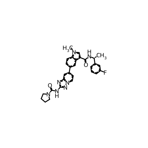 C[C@H](NC(=O)c1cn(C)c2ccc(-c3ccn4nc(NC(=O)N5CCCC5)nc4c3)cc12)c1cccc(F)c1